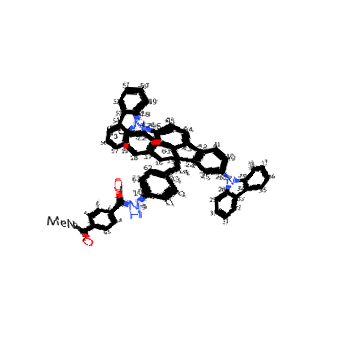 CNC(=O)c1ccc(C(=O)Nc2ccc(CC3(Cc4ccc(C)cc4)c4cc(-n5c6ccccc6c6ccccc65)ccc4-c4ccc(-n5c6ccccc6c6ccccc65)cc43)cc2)cc1